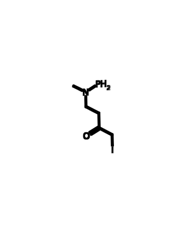 CN(P)CCC(=O)CI